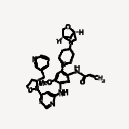 C=CC(=O)Nc1cc(Nc2cc(N3OCC[C@H]3Cc3cccnc3)ncn2)c(OC)cc1N1CCC(N2C[C@H]3C[C@@H]2CO3)CC1